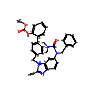 CCCCc1nc2ccc(N(Cc3ccccc3)C(=O)N(C)C)cc2n1Cc1ccc(-c2ccccc2OC(=O)OC(C)(C)C)cc1